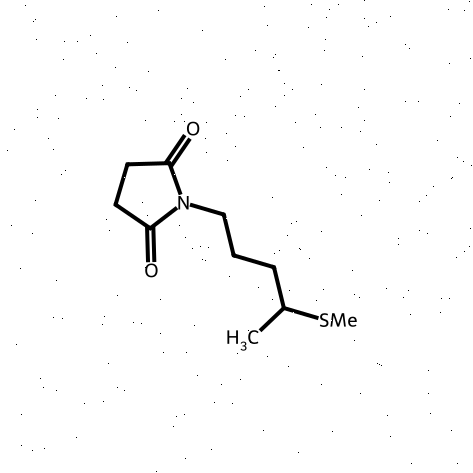 CSC(C)CCCN1C(=O)CCC1=O